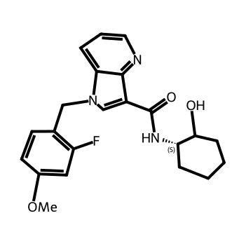 COc1ccc(Cn2cc(C(=O)N[C@H]3CCCCC3O)c3ncccc32)c(F)c1